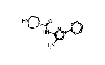 Nc1cn(-c2ccccc2)nc1NC(=O)N1CCNCC1